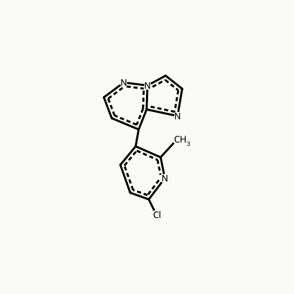 Cc1nc(Cl)ccc1-c1ccnn2ccnc12